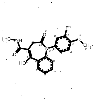 CNC(=O)C1=C(O)c2ccccc2N(c2ccc(OC)c(F)c2)C(=O)C1